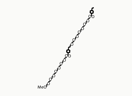 C=Cc1ccc(C(=O)OCCOCCOCCOCCOCCOCCOCCOC/C=C/c2ccc(C(=O)OCCOCCOCCOCCOCCOCCOCCOCCOC)cc2)cc1